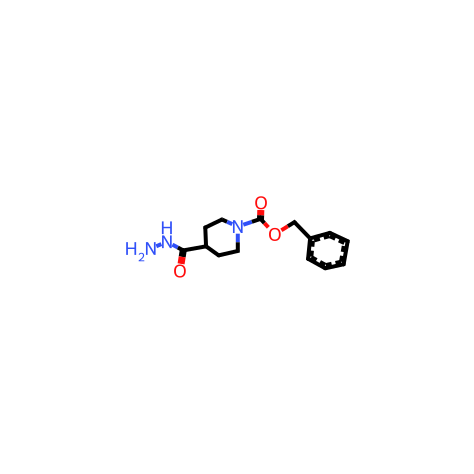 NNC(=O)C1CCN(C(=O)OCc2ccccc2)CC1